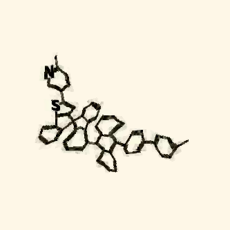 Cc1ccc(-c2ccc(-c3c4ccccc4c(-c4cccc5c4-c4ccccc4C54c5ccccc5-c5sc(-c6ccc(C)nc6)cc54)c4ccccc34)cc2)cc1